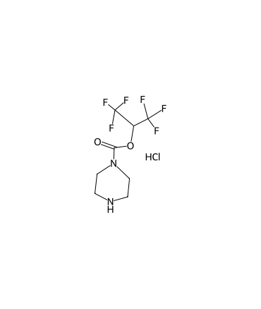 Cl.O=C(OC(C(F)(F)F)C(F)(F)F)N1CCNCC1